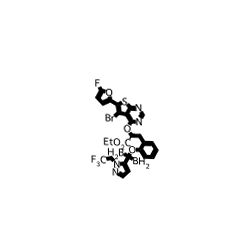 BC(B)(Oc1ccccc1C[C@@H](Oc1ncnc2sc(-c3ccc(F)o3)c(Br)c12)C(=O)OCC)c1ccnn1CC(F)(F)F